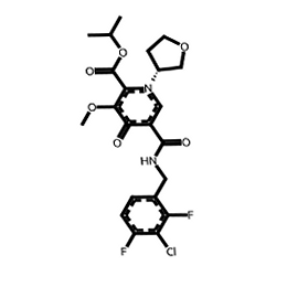 COc1c(C(=O)OC(C)C)n([C@@H]2CCOC2)cc(C(=O)NCc2ccc(F)c(Cl)c2F)c1=O